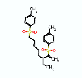 C=C(C(CC)CCC=CCS(=O)(=O)c1ccc(C)cc1)S(=O)(=O)c1ccc(C)cc1